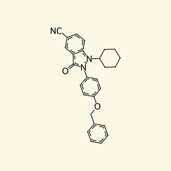 N#Cc1ccc2c(c1)c(=O)n(-c1ccc(OCc3ccccc3)cc1)n2C1CCCCC1